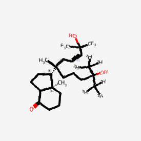 [2H]C([2H])([2H])C(O)(CCCC(C)(C/C=C\C(O)(C(F)(F)F)C(F)(F)F)[C@H]1CCC2C(=O)CCC[C@@]21C)C([2H])([2H])[2H]